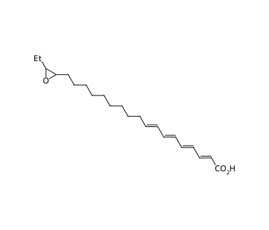 CCC1OC1CCCCCCCCC/C=C/C=C/C=C/C=C/C(=O)O